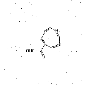 O=CC(=O)C1=CC=CN=CC=C1